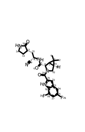 CC1(C)C2[C@@H](C(=O)N[C@H](C#N)C[C@@H]3CCNC3=O)N(C(=O)c3cc4cc(F)cc(F)c4[nH]3)C[C@@H]21